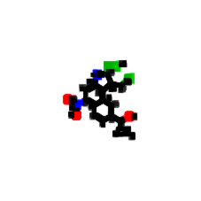 CC(=O)c1ccc2c([N+](=O)[O-])cc3c(c2c1)C(CCl)C[N]3.Cl